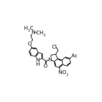 CC(=O)c1ccc2c([N+](=O)[O-])cc3c(c2c1)C(CCl)CN3C(=O)c1cc2cc(OCCN(C)C)ccc2[nH]1